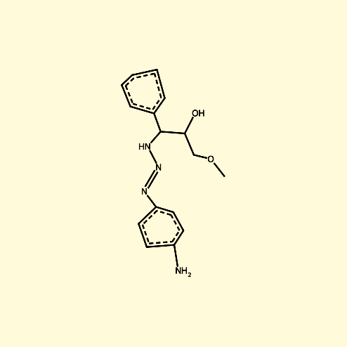 COCC(O)C(NN=Nc1ccc(N)cc1)c1ccccc1